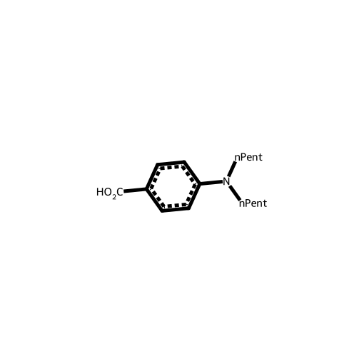 CCCCCN(CCCCC)c1ccc(C(=O)O)cc1